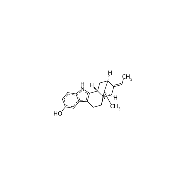 C/C=C1/CN2C3Cc4c([nH]c5ccc(O)cc45)[C@@H]2C[C@@H]1[C@H]3C